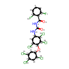 O=C(NC(=O)c1c(F)cccc1F)Nc1cc(Cl)c(Oc2cc(Cl)c(Cl)cc2Cl)c(Cl)c1Cl